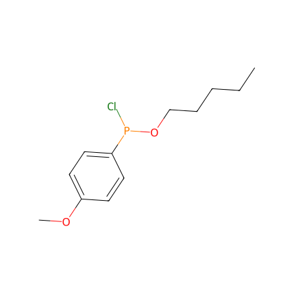 CCCCCOP(Cl)c1ccc(OC)cc1